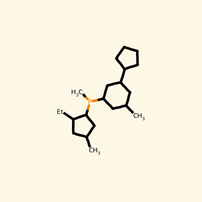 CCC1CC(C)CC1P(C)C1CC(C)CC(C2CCCC2)C1